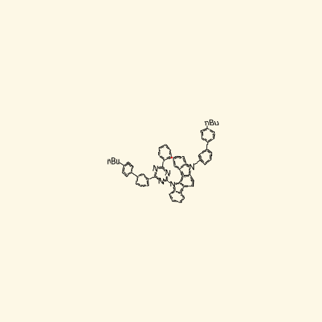 CCCCc1ccc(-c2cccc(-c3nc(-c4ccccc4)nc(-n4c5ccccc5c5ccc6c(c7ccccc7n6-c6cccc(-c7ccc(CCCC)cc7)c6)c54)n3)c2)cc1